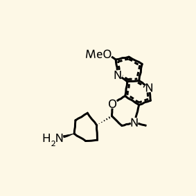 COc1ccc2ncc3c(c2n1)OC([C@H]1CC[C@H](N)CC1)CN3C